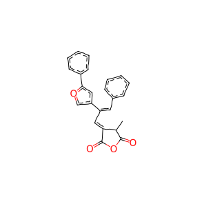 CC1C(=O)OC(=O)C1=CC(=Cc1ccccc1)c1coc(-c2ccccc2)c1